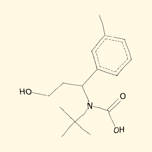 Cc1cccc(C(CCO)N(C(=O)O)C(C)(C)C)c1